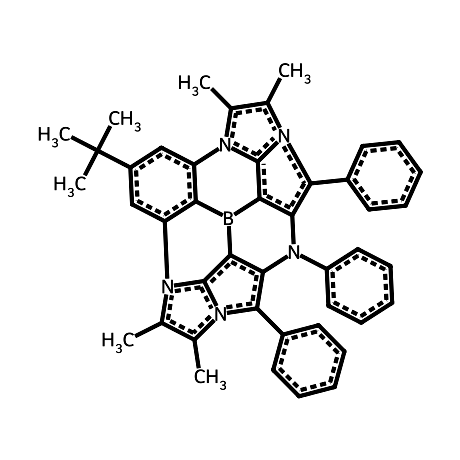 Cc1c(C)n2c(-c3ccccc3)c3c4c2n1-c1cc(C(C)(C)C)cc2c1B4c1c(c(-c4ccccc4)n4c(C)c(C)n-2c14)N3c1ccccc1